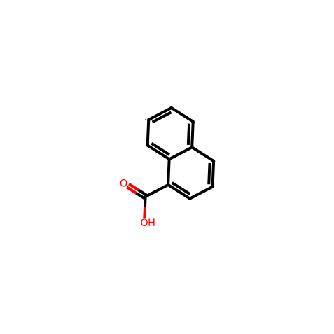 O=C(O)c1cccc2cc[c]cc12